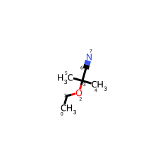 CCOC(C)(C)C#N